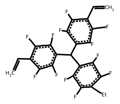 C=Cc1c(F)c(F)c(C(c2c(F)c(F)c(C=C)c(F)c2F)c2c(F)c(F)c(CC)c(F)c2F)c(F)c1F